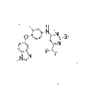 Cc1cc(Nc2cc(C(F)F)nc(Br)n2)ccc1Oc1ccc2c(c1)ncn2C